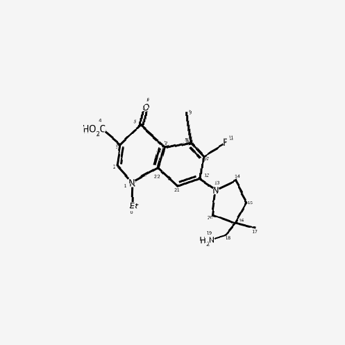 CCn1cc(C(=O)O)c(=O)c2c(C)c(F)c(N3CCC(C)(CN)C3)cc21